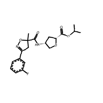 CC(C)OC(=O)[C@H]1C[C@@H](NC(=O)C2(C)CC(c3cccc(F)c3)=NO2)CO1